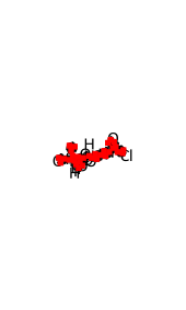 CC1(C=O)CCC(c2ccc(Cl)cc2)=C(CN2CCN(c3ccc(C(=O)NS(=O)(=O)c4ccc(N[C@H](CCN5CCOCC5)CSc5ccccc5)c(S(=O)(=O)C(F)(F)F)c4)cc3)CC2)C1